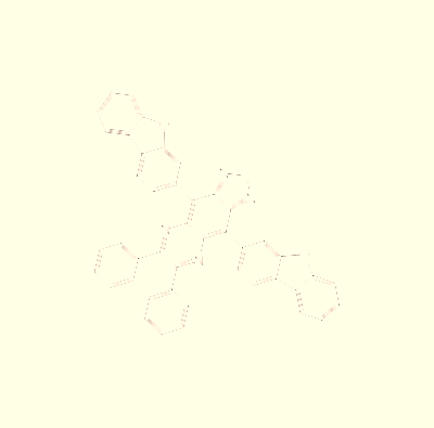 c1ccc(-c2nc3c(-c4ccc5c(c4)oc4ccccc45)c4nsnc4c(-c4ccc5c(c4)oc4ccccc45)c3nc2-c2ccccc2)cc1